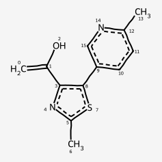 C=C(O)c1nc(C)sc1-c1ccc(C)nc1